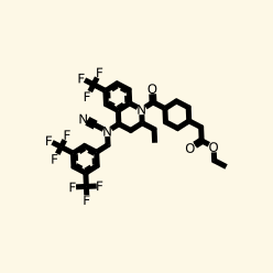 CCOC(=O)CC1CCC(C(=O)N2c3ccc(C(F)(F)F)cc3C(N(C#N)Cc3cc(C(F)(F)F)cc(C(F)(F)F)c3)CC2CC)CC1